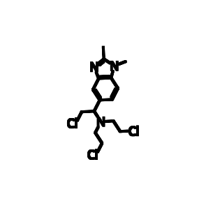 Cc1nc2cc(C(CCl)N(CCCl)CCCl)ccc2n1C